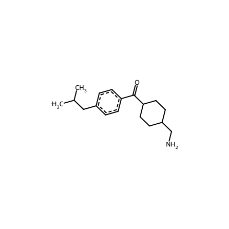 [CH2]C(C)Cc1ccc(C(=O)C2CCC(CN)CC2)cc1